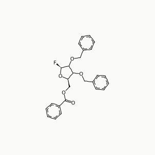 O=C(OC[C@H]1O[C@@H](F)C(OCc2ccccc2)C1OCc1ccccc1)c1ccccc1